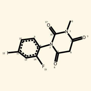 CN1C(=O)CC(=O)N(c2ccc(I)cc2F)C1=O